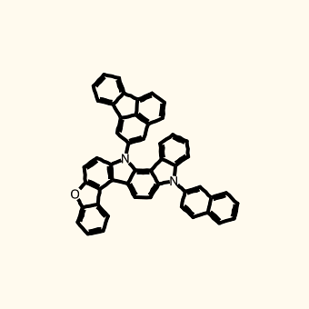 c1ccc2c(c1)-c1cccc3cc(-n4c5ccc6oc7ccccc7c6c5c5ccc6c(c7ccccc7n6-c6ccc7ccccc7c6)c54)cc-2c13